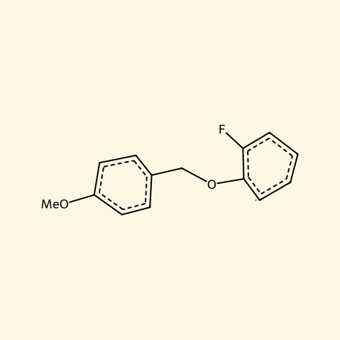 COc1ccc(COc2[c]cccc2F)cc1